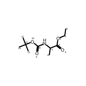 CCOC(=O)C(C)NC(=O)OC(C)(C)C